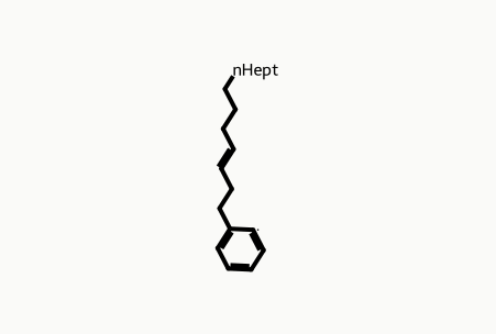 CCCCCCCCCCC=CCCc1[c]cccc1